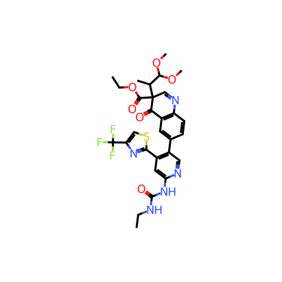 CCNC(=O)Nc1cc(-c2nc(C(F)(F)F)cs2)c(-c2ccc3c(c2)C(=O)C(C(=O)OCC)(C(C)C(OC)OC)C=N3)cn1